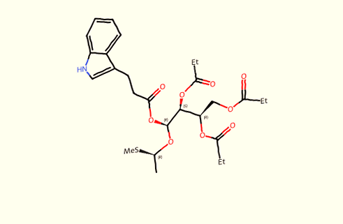 CCC(=O)OC[C@@H](OC(=O)CC)[C@H](OC(=O)CC)[C@H](OC(=O)CCc1c[nH]c2ccccc12)O[C@@H](C)SC